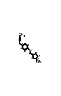 CC#CCc1ccc(OCC2CCC(CCCC)C2)cc1